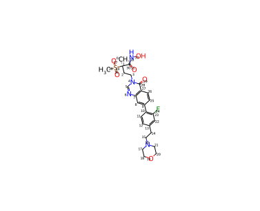 C[C@@](CCn1cnc2cc(-c3ccc(CCN4CCOCC4)cc3F)ccc2c1=O)(C(=O)NO)S(C)(=O)=O